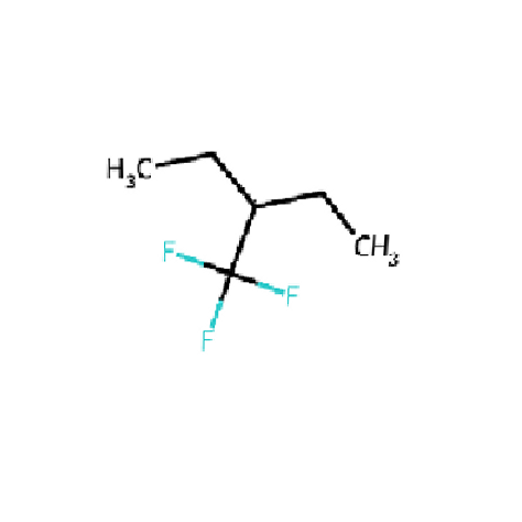 CC[C](CC)C(F)(F)F